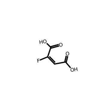 O=C(O)/C=C(/F)C(=O)O